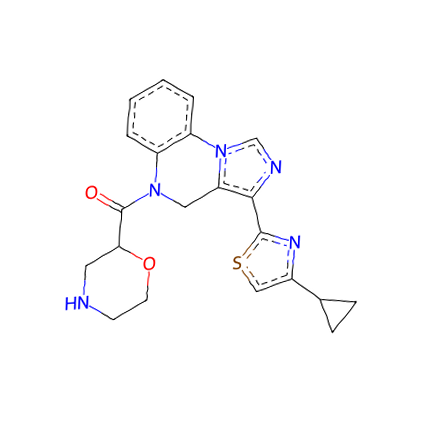 O=C(C1CNCCO1)N1Cc2c(-c3nc(C4CC4)cs3)ncn2-c2ccccc21